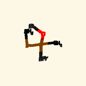 CCCS([SiH3])(OCC)S[SiH3]